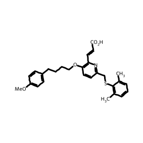 COc1ccc(CCCCOc2ccc(CSc3c(C)cccc3C)nc2C=CC(=O)O)cc1